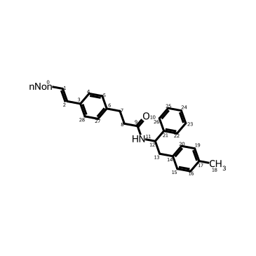 CCCCCCCCCC=Cc1ccc(CCC(=O)NC(Cc2ccc(C)cc2)c2ccccc2)cc1